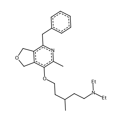 CCN(CC)CCC(C)CCOc1c(C)nc(Cc2ccccc2)c2c1COC2